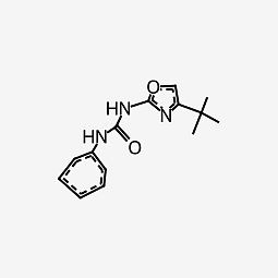 CC(C)(C)c1coc(NC(=O)Nc2ccccc2)n1